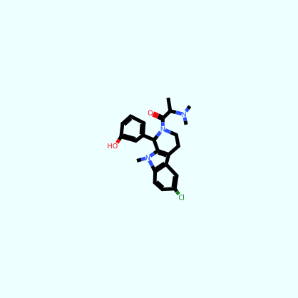 CC(C(=O)N1CCc2c(n(C)c3ccc(Cl)cc23)C1c1cccc(O)c1)N(C)C